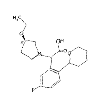 CCO[C@@H]1CCN(C(C(=O)O)c2cc(F)ccc2C2CCCCO2)C1